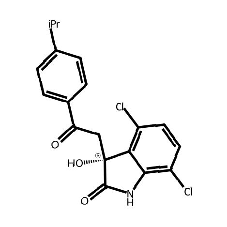 CC(C)c1ccc(C(=O)C[C@]2(O)C(=O)Nc3c(Cl)ccc(Cl)c32)cc1